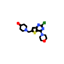 O=C1CCN(Cc2cc3nc(Cl)nc(N4CCOCC4)c3s2)CC1